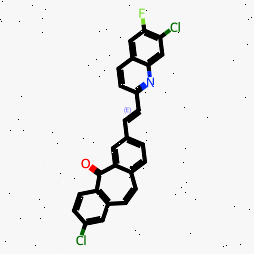 O=c1c2ccc(Cl)cc2ccc2ccc(/C=C/c3ccc4cc(F)c(Cl)cc4n3)cc12